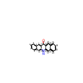 O=c1c2cc3ccccc3cc2[nH]c2cc3ccccc3cc12